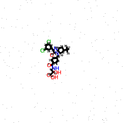 C[C@H](c1ccc(C(=O)NCC(O)C(=O)O)cc1)N1C(=O)C(c2cc(Cl)cc(Cl)c2)=NC12CCC(C(C)(C)C)CC2